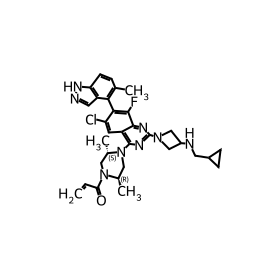 C=CC(=O)N1C[C@H](C)N(c2nc(N3CC(NCC4CC4)C3)nc3c(F)c(-c4c(C)ccc5[nH]ncc45)c(Cl)cc23)C[C@H]1C